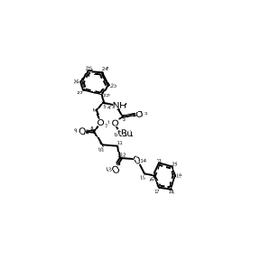 CC(C)(C)OC(=O)NC(COC(=O)CCC(=O)OCc1ccccc1)c1ccccc1